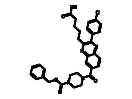 O=C(O)CCCCc1nc2cc(C(=O)N3CCN(C(=O)OCc4ccccc4)CC3)ccc2nc1-c1ccc(Cl)cc1